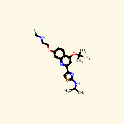 CC(C)Nc1nc(-c2cc(OC(C)(C)C)c3ccc(OCCNCF)cc3n2)cs1